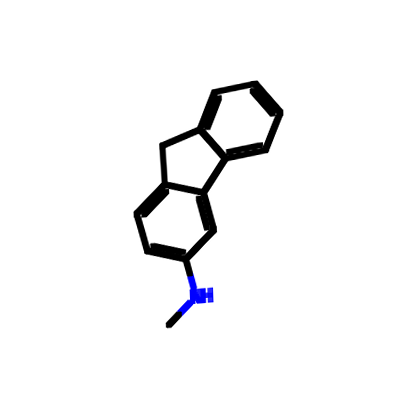 CNc1ccc2c(c1)-c1ccccc1C2